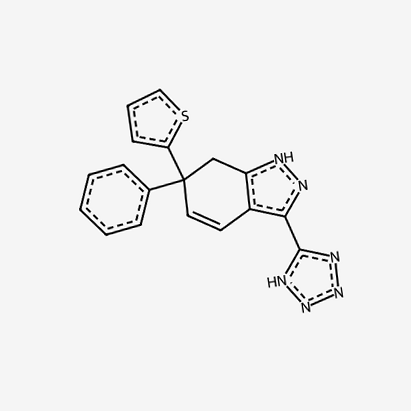 C1=CC(c2ccccc2)(c2cccs2)Cc2[nH]nc(-c3nnn[nH]3)c21